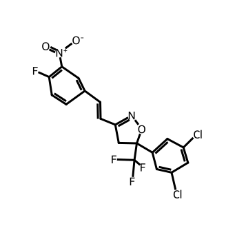 O=[N+]([O-])c1cc(C=CC2=NOC(c3cc(Cl)cc(Cl)c3)(C(F)(F)F)C2)ccc1F